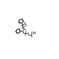 CC(O)CSC(C)(C)CC(c1ccccc1)C(C)C(C)(C)C(C)(c1ccccc1)C(C)C